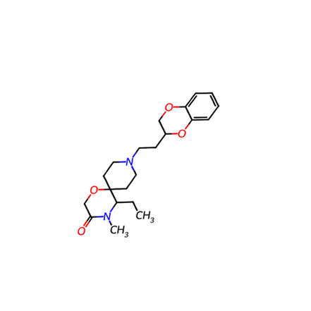 CCC1N(C)C(=O)COC12CCN(CCC1COc3ccccc3O1)CC2